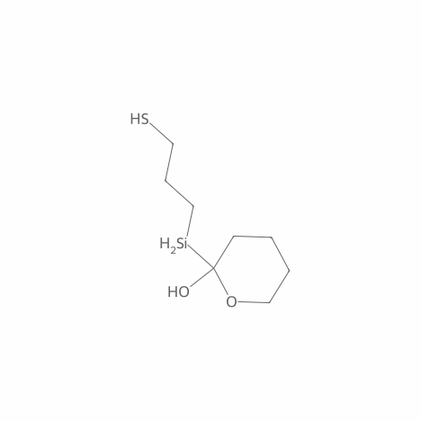 OC1([SiH2]CCCS)CCCCO1